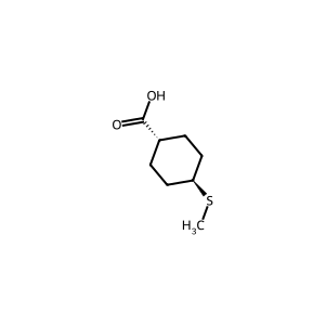 CS[C@H]1CC[C@H](C(=O)O)CC1